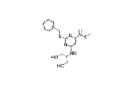 CSNc1cc(NC(CO)CO)nc(SCc2ccccc2)n1